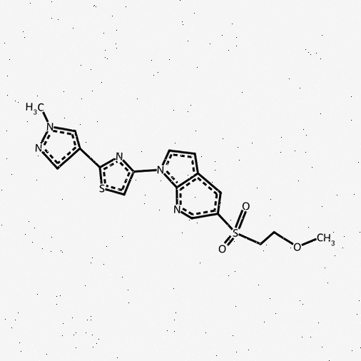 COCCS(=O)(=O)c1cnc2c(ccn2-c2csc(-c3cnn(C)c3)n2)c1